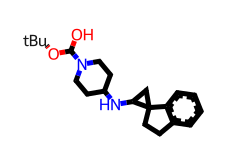 CC(C)(C)OC(O)N1CCC(NC2CC23CCc2ccccc23)CC1